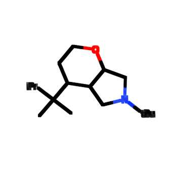 CC(C)C(C)(C)C1CCOC2CN(C(C)(C)C)CC21